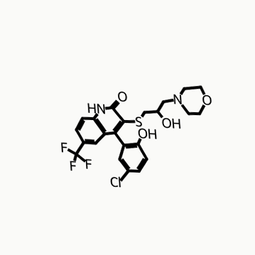 O=c1[nH]c2ccc(C(F)(F)F)cc2c(-c2cc(Cl)ccc2O)c1SCC(O)CN1CCOCC1